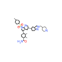 Cc1ccc(S(=O)(=O)n2cc(-c3ccc(C(N)=O)c(C)c3C)c3cc(-c4ccc5nn(CC6CCN(C)CC6)cc5c4)cnc32)cc1